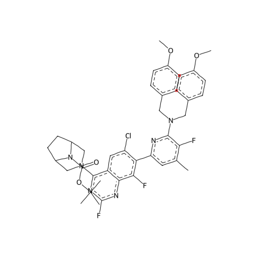 COc1ccc(CN(Cc2ccc(OC)cc2)c2nc(-c3c(Cl)cc4c(N5CC6CCC(C5)N6C(=O)OC(C)(C)C)nc(F)nc4c3F)cc(C)c2F)cc1